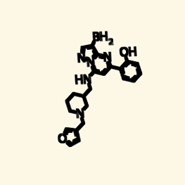 Bc1cnn2c(NCC3CCCN(Cc4ccoc4)C3)cc(-c3ccccc3O)nc12